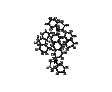 CC1(C)c2ccccc2-c2c(-c3c4cc(N5CCCc6ccccc65)ccc4c(-c4cccc5ccccc45)c4cc(N5CCCc6ccccc65)ccc34)cccc21